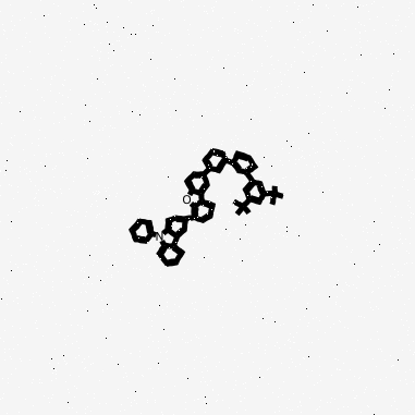 CC(C)(C)c1cc(-c2cccc(-c3cccc(-c4ccc5oc6c(-c7ccc8c(c7)c7ccccc7n8-c7ccccc7)cccc6c5c4)c3)c2)cc(C(C)(C)C)c1